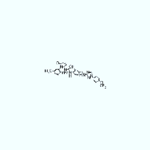 CCCc1ccc(C)cc1N1C(=O)CSC1=NC(=O)Nc1ccc(CNc2ncn(-c3ccc(OC(F)(F)F)cc3)n2)cc1F